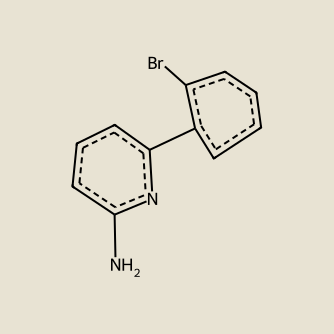 Nc1cccc(-c2ccccc2Br)n1